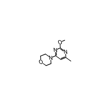 COc1nc(C)cc(N2CCOCC2)n1